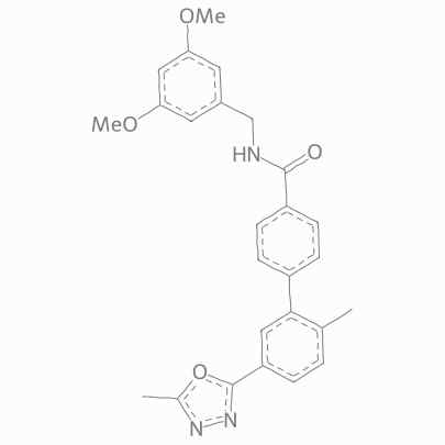 COc1cc(CNC(=O)c2ccc(-c3cc(-c4nnc(C)o4)ccc3C)cc2)cc(OC)c1